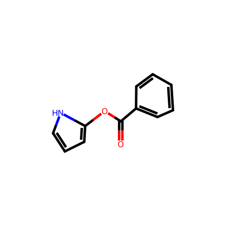 O=C(Oc1ccc[nH]1)c1ccccc1